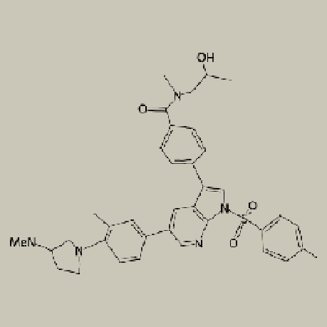 CNC1CCN(c2ccc(-c3cnc4c(c3)c(-c3ccc(C(=O)N(C)CC(C)O)cc3)cn4S(=O)(=O)c3ccc(C)cc3)cc2C)C1